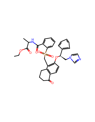 CCOC(=O)C(C)NC(=O)c1ccccc1S(=O)(=O)Cc1c(O[C@H](Cn2ccnc2)c2ccccc2)ccc2c1CCCC2=O